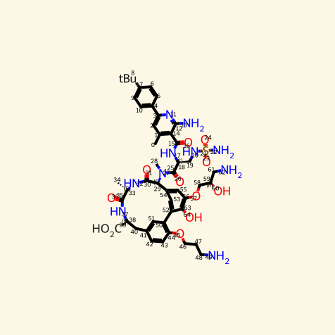 Cc1cc(-c2ccc(C(C)(C)C)cc2)nc(N)c1C(=O)N[C@@H](CNS(N)(=O)=O)C(=O)N(C)[C@@H]1C(=O)N[C@@H](C)C(=O)N[C@H](C(=O)O)Cc2ccc(OCCCN)c(c2)-c2cc1cc(OC[C@H](O)CN)c2O